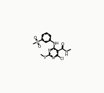 CNC(=O)c1c(Cl)nc(SC)nc1Nc1cccc(S(C)(=O)=O)c1